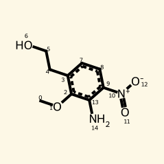 COc1c(CCO)ccc([N+](=O)[O-])c1N